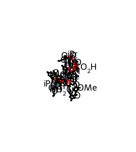 C=CCOC(=O)N[C@H](C(=O)N[C@@H](C)C(=O)Nc1ccc(C[C@H](CCC[C@@](Cc2ccc(NC(=O)[C@H](C)NC(=O)[C@@H](NC(=O)OCC=C)C(C)C)cc2)(Oc2cc3c(cc2OC)C(=O)N2CC(=C)CC2CN3C(=O)O)[C@H](CCCCOc2cc3c(cc2OC)C(=O)N2CC(=C)CC2CN3)Oc2cc3c(cc2OC)C(=O)N2CC(=C)CC2CN3)Oc2cc3c(cc2OC)C(=O)N2CC(=C)CC2CN3C(=O)O)cc1)C(C)C